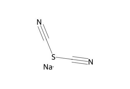 N#CSC#N.[Na]